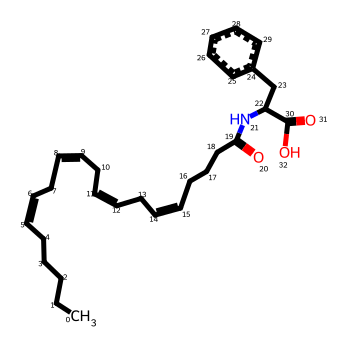 CCCCC/C=C\C/C=C\C/C=C\C/C=C\CCCC(=O)NC(Cc1ccccc1)C(=O)O